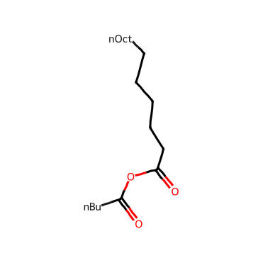 CCCCCCCCCCCCCC(=O)OC(=O)CCCC